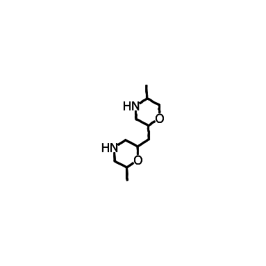 CC1COC(CC2CNCC(C)O2)CN1